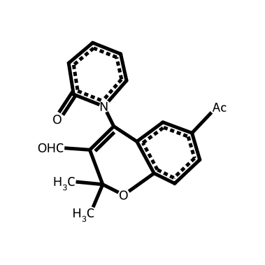 CC(=O)c1ccc2c(c1)C(n1ccccc1=O)=C(C=O)C(C)(C)O2